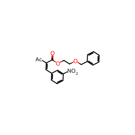 CC(=O)C(=Cc1cccc([N+](=O)[O-])c1)C(=O)OCCOCc1ccccc1